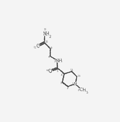 CN1CCC(C(=O)NCCC(N)=O)CC1